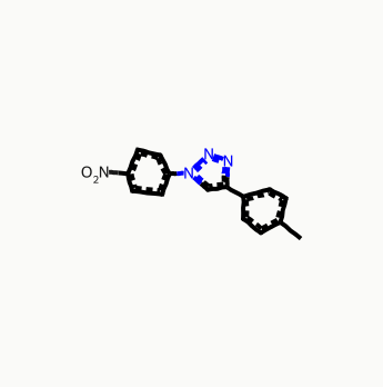 Cc1ccc(-c2cn(-c3ccc([N+](=O)[O-])cc3)nn2)cc1